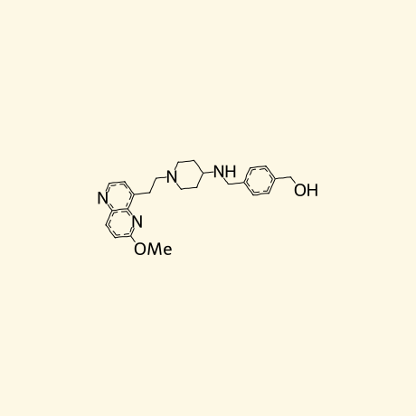 COc1ccc2nccc(CCN3CCC(NCc4ccc(CO)cc4)CC3)c2n1